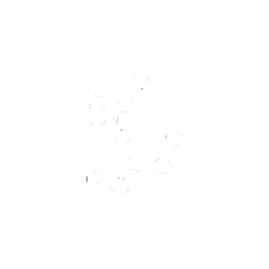 c1ccc(-c2ccc(N(c3ccc(-c4cc(-c5cccc6c5sc5ccccc56)cc(-c5cccc6c5sc5ccccc56)c4)cc3)c3cccc4ccccc34)cc2)cc1